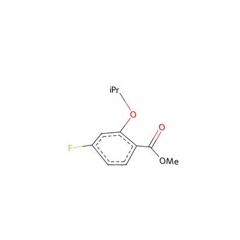 COC(=O)c1ccc(F)cc1OC(C)C